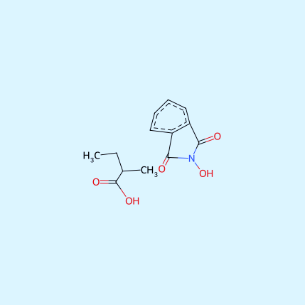 CCC(C)C(=O)O.O=C1c2ccccc2C(=O)N1O